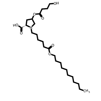 CCCCCCCCCCCOC(=O)CCCCCN1CC(OC(=O)CCCO)C[C@H]1C(=O)O